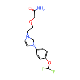 NC(=O)COCCN1C=CN(c2ccc(OC(F)F)cc2)C1